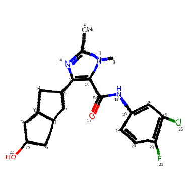 Cn1c(C#N)nc(C2CC3CC(O)CC3C2)c1C(=O)Nc1ccc(F)c(Cl)c1